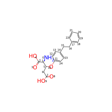 N[C@H](C(=O)O)C(CC(=O)O)Oc1ccc(CCc2ccccc2)cc1